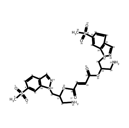 CS(=O)(=O)c1ccc2cnn(CC(CN)OC(=O)/C=C/C(=O)OC(CN)Cn3ncc4ccc(S(C)(=O)=O)cc43)c2c1